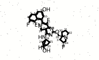 CCc1c(F)ccc2cc(O)cc(-c3ncc4c(NC56CC(C5)[C@H](O)C6)nc(OC[C@@]56CCCN5C[C@H](F)C6)nc4c3F)c12